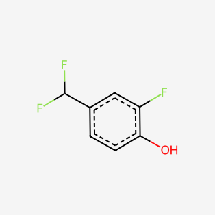 Oc1ccc(C(F)F)cc1F